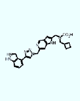 O=C(O)N(Cc1cc2cnc(Cn3cc(-c4cccc5c4CNN5)nn3)cc2[nH]1)CC1CCC1